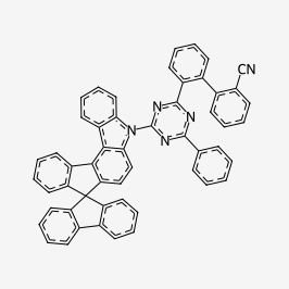 N#Cc1ccccc1-c1ccccc1-c1nc(-c2ccccc2)nc(-n2c3ccccc3c3c4c(ccc32)C2(c3ccccc3-c3ccccc32)c2ccccc2-4)n1